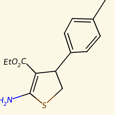 CCOC(=O)C1=C(N)SCC1c1ccc(C)cc1